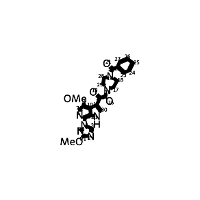 COc1ncn(-c2ncc(OC)c3c(C(=O)C(=O)N4CCN(C(=O)c5ccccc5)CC4)c[nH]c23)n1